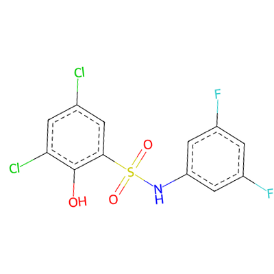 O=S(=O)(Nc1cc(F)cc(F)c1)c1cc(Cl)cc(Cl)c1O